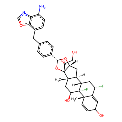 C[C@]12C=CC(O)C=C1[C@@H](F)C[C@H]1[C@@H]3C[C@H]4O[C@@H](c5ccc(Cc6ccc(N)c7ncoc67)cc5)O[C@@]4(C(=O)CO)[C@@]3(C)C[C@H](O)[C@@]12F